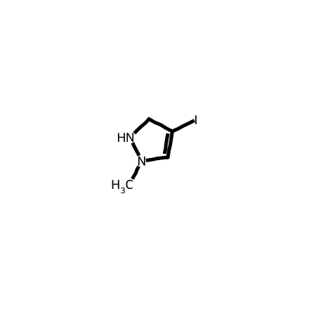 CN1C=C(I)CN1